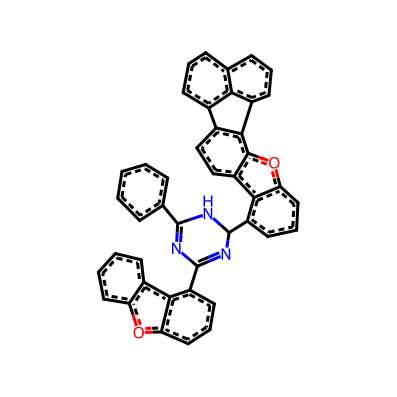 c1ccc(C2=NC(c3cccc4oc5ccccc5c34)=NC(c3cccc4oc5c6c(ccc5c34)-c3cccc4cccc-6c34)N2)cc1